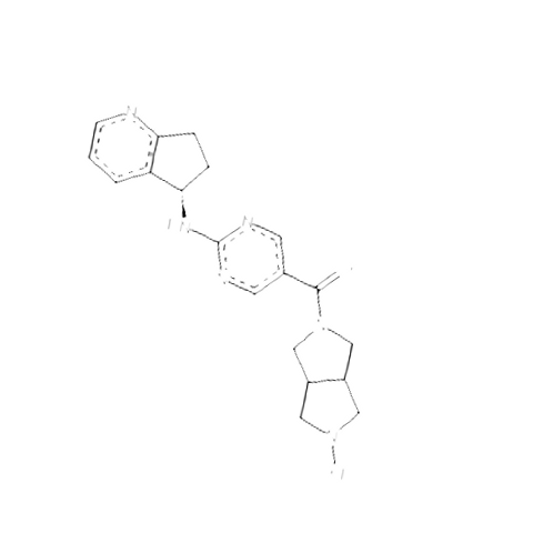 CN1CC2CN(C(=O)c3cnc(N[C@@H]4CCc5ncccc54)nc3)CC2C1